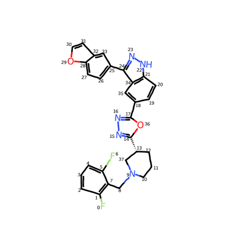 Fc1cccc(F)c1CN1CCC[C@@H](c2nnc(-c3ccc4[nH]nc(-c5ccc6occc6c5)c4c3)o2)C1